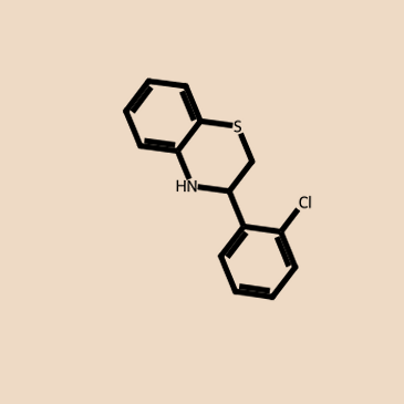 Clc1ccccc1C1CSc2ccccc2N1